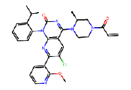 C=CC(=O)N1CCN(c2nc(=O)n(-c3ccccc3C(C)C)c3nc(-c4cccnc4OC)c(Cl)cc23)[C@@H](C)C1